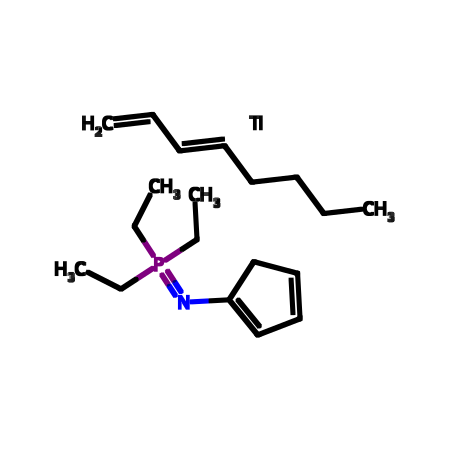 C=CC=CCCCC.CCP(CC)(CC)=NC1=CC=CC1.[Ti]